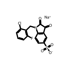 O=C1C(=O)N(Cc2c(F)cccc2Cl)c2ccc(S(=O)(=O)[O-])cc21.[Na+]